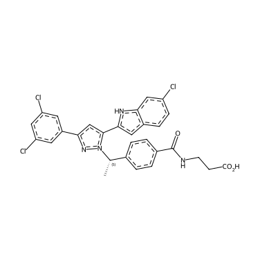 C[C@@H](c1ccc(C(=O)NCCC(=O)O)cc1)n1nc(-c2cc(Cl)cc(Cl)c2)cc1-c1cc2ccc(Cl)cc2[nH]1